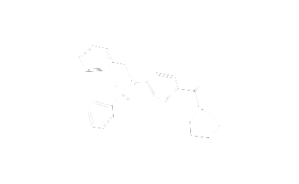 O=C(c1ccc(N(Cc2ccccc2)S(=O)(=O)c2ccccc2)cc1)N1CCCCC1